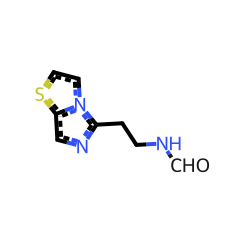 O=CNCCc1ncc2sccn12